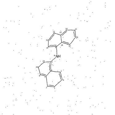 C1=c2ccccc2=C(Nc2cccc3ccccc23)CC1